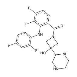 O=C(c1ccc(F)c(F)c1Nc1ccc(I)cc1F)N1CC(O)(C2CNCCN2)C1